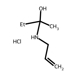 C=CCNC(C)(O)CC.Cl